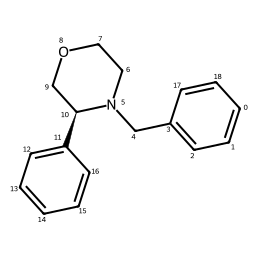 c1ccc(CN2CCOC[C@@H]2c2ccccc2)cc1